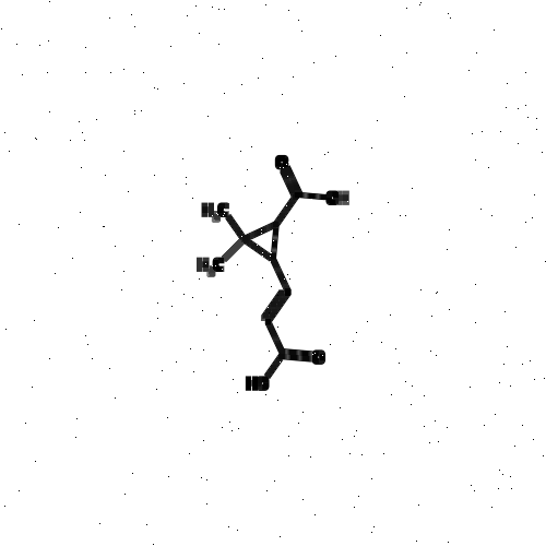 CC1(C)C(/C=C/C(=O)O)C1C(=O)O